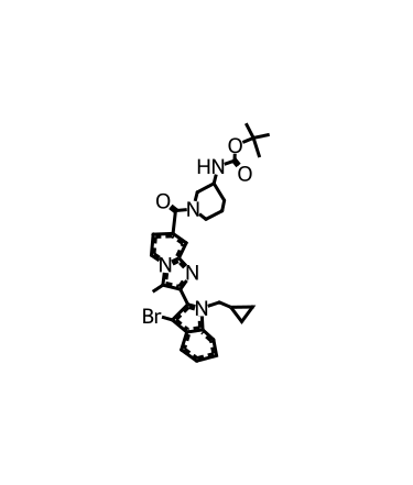 Cc1c(-c2c(Br)c3ccccc3n2CC2CC2)nc2cc(C(=O)N3CCCC(NC(=O)OC(C)(C)C)C3)ccn12